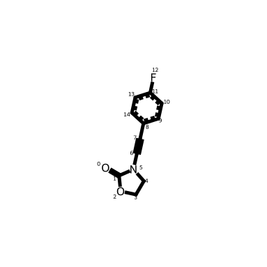 O=C1OCCN1C#Cc1ccc(F)cc1